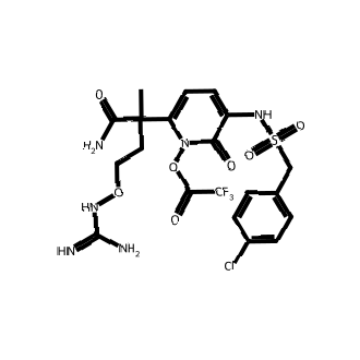 CC(CCONC(=N)N)(C(N)=O)c1ccc(NS(=O)(=O)Cc2ccc(Cl)cc2)c(=O)n1OC(=O)C(F)(F)F